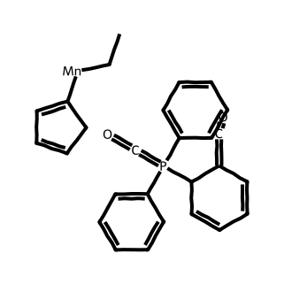 C[CH2][Mn][C]1=CC=CC1.O=C=C1C=CC=CC1P(=C=O)(c1ccccc1)c1ccccc1